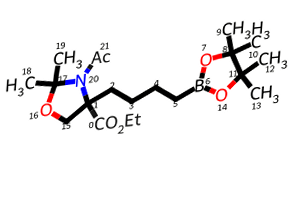 CCOC(=O)C1(CCCCB2OC(C)(C)C(C)(C)O2)COC(C)(C)N1C(C)=O